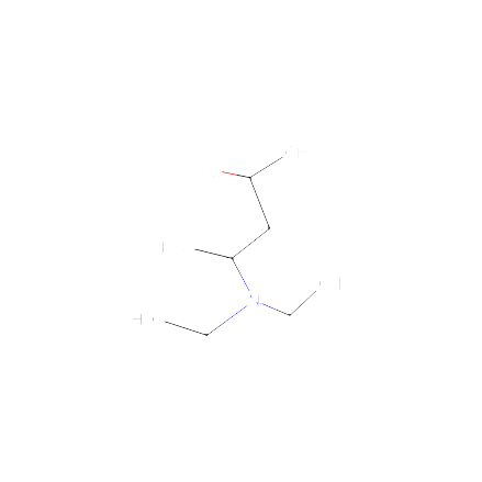 CCN(CC)[C](C)CC(C)O